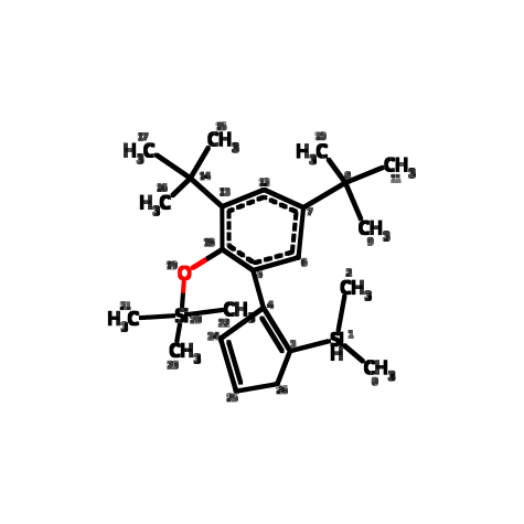 C[SiH](C)C1=C(c2cc(C(C)(C)C)cc(C(C)(C)C)c2O[Si](C)(C)C)C=CC1